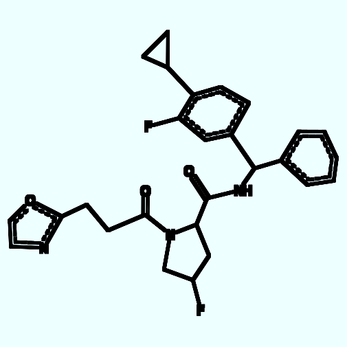 O=C(NC(c1ccccc1)c1ccc(C2CC2)c(F)c1)C1CC(F)CN1C(=O)CCc1ncco1